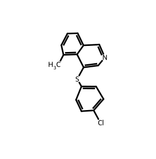 Cc1cccc2cncc(Sc3ccc(Cl)cc3)c12